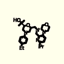 CCc1ccc(N2CC(CN(C)Cc3nc(C(C)C)ccc3N3CCOCC3)O[C@H](C(C)(C)O)C2)cc1